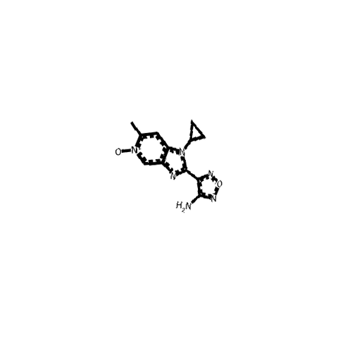 Cc1cc2c(c[n+]1[O-])nc(-c1nonc1N)n2C1CC1